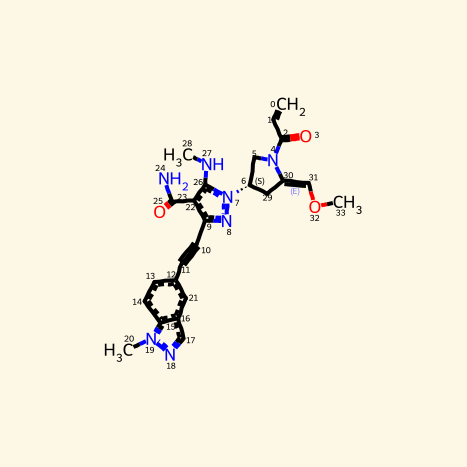 C=CC(=O)N1C[C@@H](n2nc(C#Cc3ccc4c(cnn4C)c3)c(C(N)=O)c2NC)C/C1=C\OC